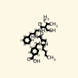 CCCCc1ncc(C(=O)NC(CNC(=O)C(CS)C(C)C)Cc2ccccc2)n1Cc1ccc(C(=O)O)cc1